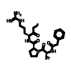 CC(C)[C@H](NC(=O)Cc1ccccc1)C(=O)N1CCC[C@H]1C(=O)N[C@@H](CCCNC(=N)N)C(=O)CF